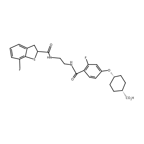 O=C(NCCNC(=O)C1Cc2cccc(F)c2S1)c1ccc(O[C@H]2CC[C@@H](C(=O)O)CC2)cc1F